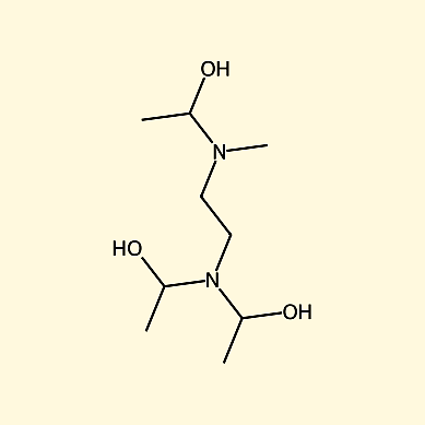 CC(O)N(C)CCN(C(C)O)C(C)O